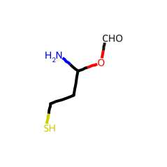 NC(CCS)OC=O